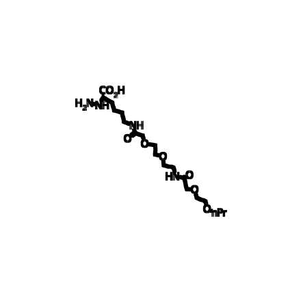 CCCOCCOCC(=O)NCCOCCOCC(=O)NCCCC[C@H](NN)C(=O)O